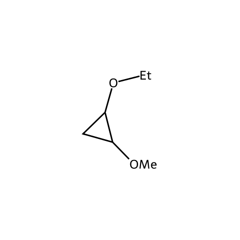 CCOC1CC1OC